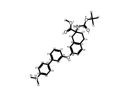 COC(=O)C1(NC(=O)OC(C)(C)C)CCc2ccc(Oc3cccc(-c4ccc(N(C)C)cc4)c3)cc2C1